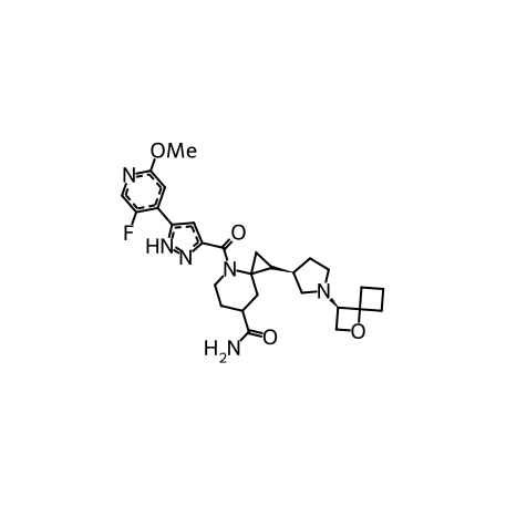 COc1cc(-c2cc(C(=O)N3CCC(C(N)=O)CC34CC4[C@H]3CCN([C@@H]4COC45CCC5)C3)n[nH]2)c(F)cn1